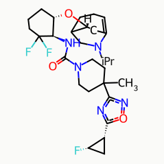 CC(C)N1CC2CCC=C1C[C@H]2O[C@H]1CCCC(F)(F)[C@@H]1NC(=O)N1CCC(C)(c2noc([C@@H]3C[C@@H]3F)n2)CC1